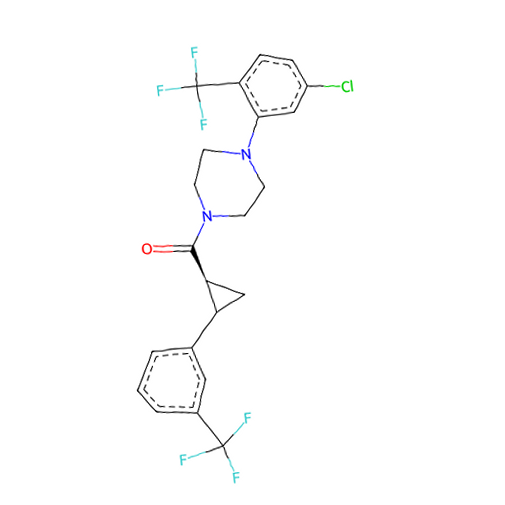 O=C([C@H]1CC1c1cccc(C(F)(F)F)c1)N1CCN(c2cc(Cl)ccc2C(F)(F)F)CC1